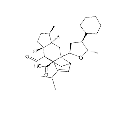 CC(C)C1=CC2CC3(C=O)[C@@H]4CC[C@@H](C)[C@H]4CC2([C@H]2C[C@@H](C4CCCCC4)[C@H](C)O2)[C@]13C(=O)O